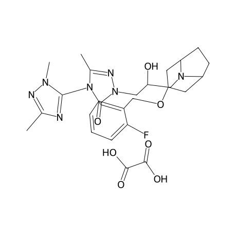 Cc1nc(-n2c(C)nn(CC(O)CN3C4CCC3CC(OCc3ccccc3F)C4)c2=O)n(C)n1.O=C(O)C(=O)O